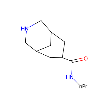 CCCNC(=O)C1CC2CNCC(C2)C1